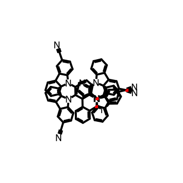 N#Cc1ccc2c(c1)c1ccccc1n2-c1nc(-n2c3ccccc3c3cc(C#N)ccc32)c(-n2c3ccccc3c3cc(C#N)ccc32)c(-c2ccccc2-c2nc3ccccc3n2-c2ccccc2)c1-n1c2ccccc2c2cc(C#N)ccc21